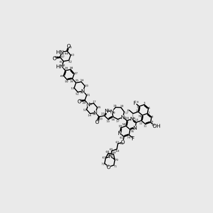 CCc1c(F)ccc2cc(O)cc(-c3nc(N4CCCn5nc(C(=O)N6CCN(C(=O)CN7CCC(c8ccc(NC9CCC(=O)NC9=O)cc8)CC7)CC6)cc5C4)c4cnc(OCCCN5C6CCC5COC6)c(F)c4n3)c12